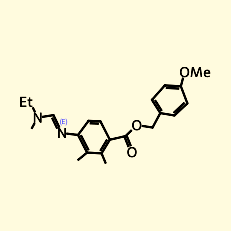 CCN(C)/C=N/c1ccc(C(=O)OCc2ccc(OC)cc2)c(C)c1C